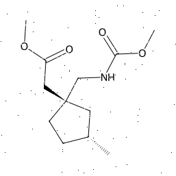 COC(=O)C[C@]1(CNC(=O)OC)CC[C@@H](C)C1